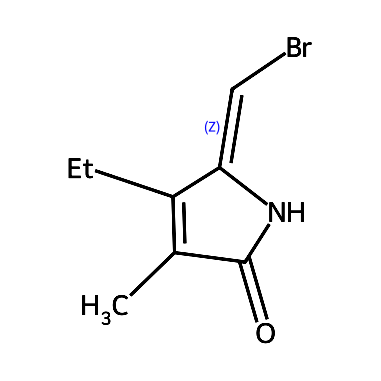 CCC1=C(C)C(=O)N/C1=C\Br